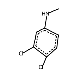 CNc1ccc(Cl)c(Cl)c1